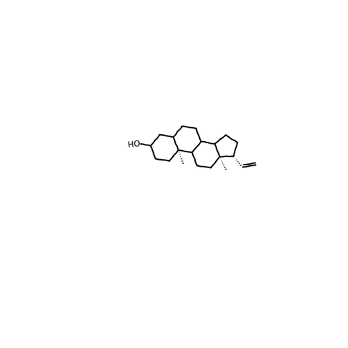 C=C[C@H]1CCC2C3CCC4CC(O)CC[C@]4(C)C3CC[C@@]21C